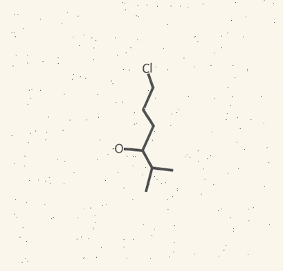 CC(C)C([O])CCCCl